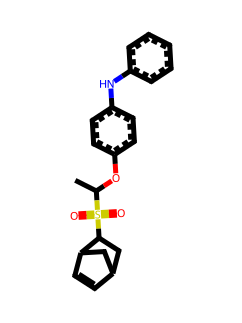 CC(Oc1ccc(Nc2ccccc2)cc1)S(=O)(=O)C1CC2C=CC1C2